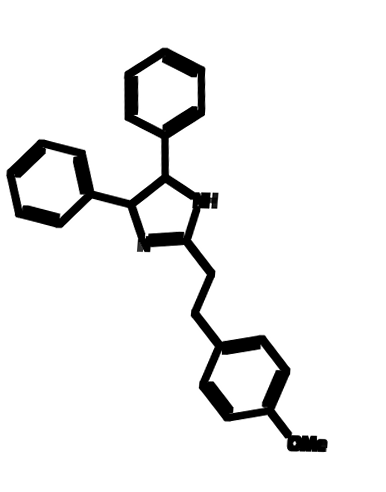 COc1ccc(CCC2=NC(c3ccccc3)C(c3ccccc3)N2)cc1